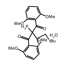 COc1cccc(OC)c1C(=O)C(P)(C(=O)c1c(OC)cccc1OC)C(C)CC(C)(C)C.O